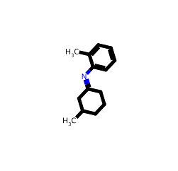 Cc1ccccc1/N=C1\CCCC(C)C1